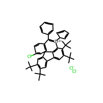 CC(C)(C)c1cc2c(cc1C(C)(C)C)-c1cc(C(C)(C)C)c(C(C)(C)C)[c]([Zr+2](=[C](c3ccccc3)c3ccc(Cl)cc3)[CH]3C=CC=C3)c1C2.[Cl-].[Cl-]